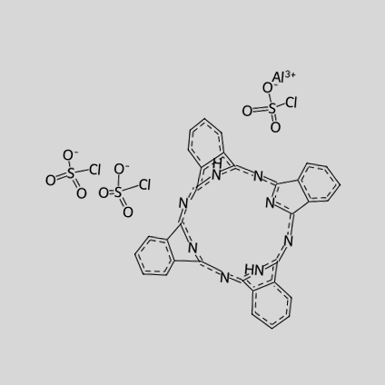 O=S(=O)([O-])Cl.O=S(=O)([O-])Cl.O=S(=O)([O-])Cl.[Al+3].c1ccc2c(c1)-c1nc-2nc2[nH]c(nc3nc(nc4[nH]c(n1)c1ccccc41)-c1ccccc1-3)c1ccccc21